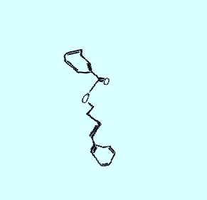 O=C(OCCC=Cc1ccccc1)c1ccccc1